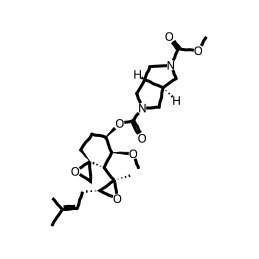 COC(=O)N1C[C@@H]2CN(C(=O)O[C@@H]3CC[C@]4(CO4)[C@@H]([C@@]4(C)O[C@@H]4CC=C(C)C)[C@@H]3OC)C[C@@H]2C1